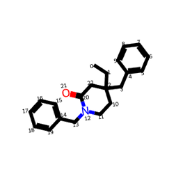 CCC1(Cc2ccccc2)CCN(Cc2ccccc2)C(=O)C1